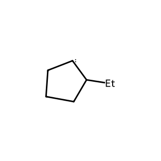 CCC1[C]CCC1